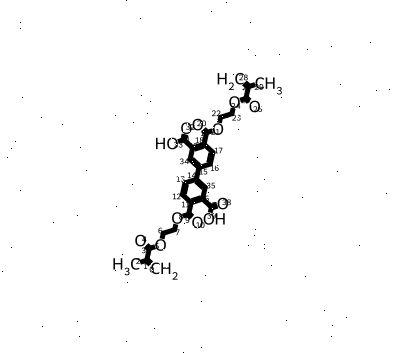 C=C(C)C(=O)OCCOC(=O)c1ccc(-c2ccc(C(=O)OCCOC(=O)C(=C)C)c(C(=O)O)c2)cc1C(=O)O